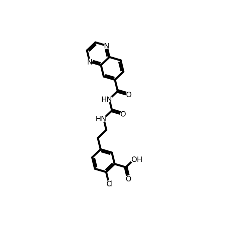 O=C(NCCc1ccc(Cl)c(C(=O)O)c1)NC(=O)c1ccc2nccnc2c1